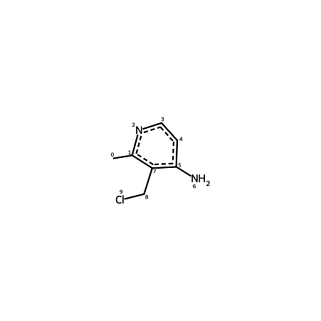 Cc1nccc(N)c1CCl